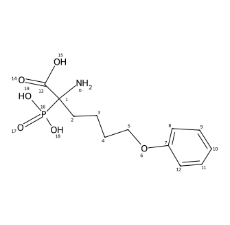 NC(CCCCOc1ccccc1)(C(=O)O)P(=O)(O)O